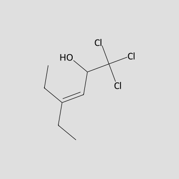 CCC(=CC(O)C(Cl)(Cl)Cl)CC